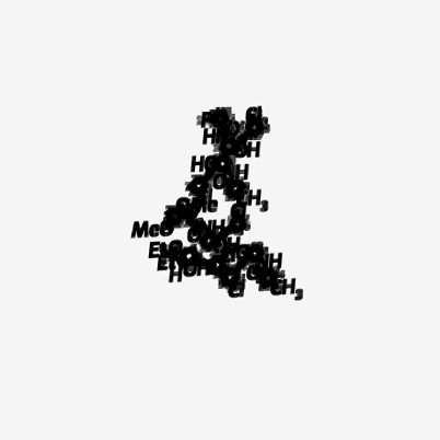 CCC(CC)C(=O)N[C@H]1CCC[C@@](O)(C#Cc2cccc(Cl)c2)C1.COc1ccc(OC)c(C(=O)CCC(=O)N[C@H]2CCC[C@@](O)(C#Cc3cccc(Cl)c3)C2)c1.Cc1ccc(C(=O)N[C@H]2CCC[C@@](O)(C#Cc3cccc(Cl)c3)C2)cc1.Cc1ccc(C(=O)N[C@H]2CCC[C@@](O)(C#Cc3cccc(Cl)c3)C2)cc1.O=C(N[C@H]1CCC[C@@](O)(C#Cc2cccc(Cl)c2)C1)c1cccc(F)c1